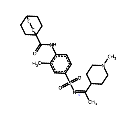 C/C(=N/S(=O)(=O)c1ccc(NC(=O)C23CCC(CC2)CC3)c(C)c1)C1CCN(C)CC1